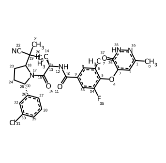 Cc1cc(Oc2c(C)cc(C(=O)N[C@H](C)C(=O)N3C(C(C)(C)C#N)CC[C@H]3c3cccc(Cl)c3)cc2F)c(=O)[nH]n1